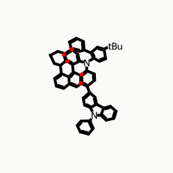 CC(C)(C)c1ccc(N(c2ccc(-c3ccc4c(c3)c3ccccc3n4-c3ccccc3)cc2)c2ccccc2-c2cccc3cccc(C4CCCCC4)c23)c(-c2ccccc2)c1